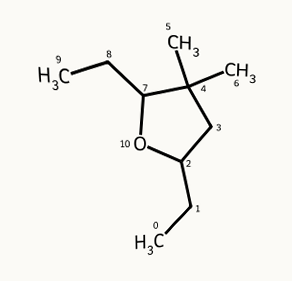 CCC1CC(C)(C)C(CC)O1